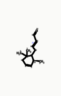 C[C@H]1C=CCC(C)(C)C1C/C=C/C=O